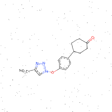 O=C1CCC(c2ccc(On3cc(C(=O)O)nn3)cc2)CC1